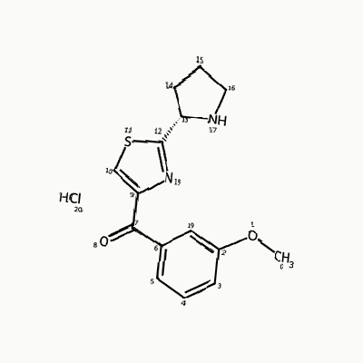 COc1cccc(C(=O)c2csc([C@@H]3CCCN3)n2)c1.Cl